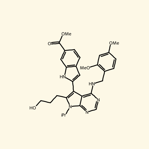 COC(=O)c1ccc2cc(-c3c(CCCO)n(C(C)C)c4ncnc(NCc5ccc(OC)cc5OC)c34)[nH]c2c1